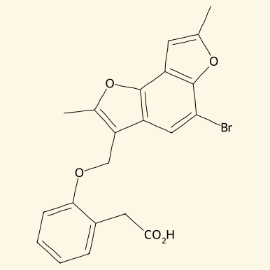 Cc1cc2c(o1)c(Br)cc1c(COc3ccccc3CC(=O)O)c(C)oc12